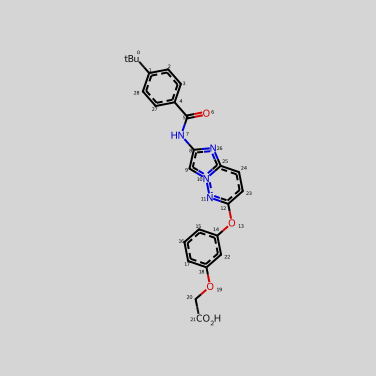 CC(C)(C)c1ccc(C(=O)Nc2cn3nc(Oc4cccc(OCC(=O)O)c4)ccc3n2)cc1